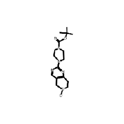 CC(C)(C)OC(=O)N1CCN(c2ncc3c(n2)CC[S+]([O-])C3)CC1